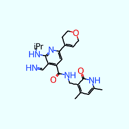 Cc1cc(C)c(CNC(=O)c2cc(C3=CCOCC3)nc(NC(C)C)c2C=N)c(=O)[nH]1